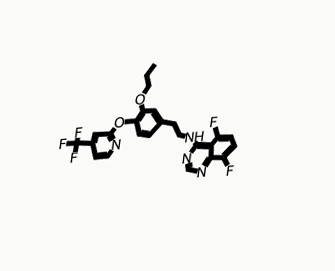 CCCOc1cc(CCNc2ncnc3c(F)ccc(F)c23)ccc1Oc1cc(C(F)(F)F)ccn1